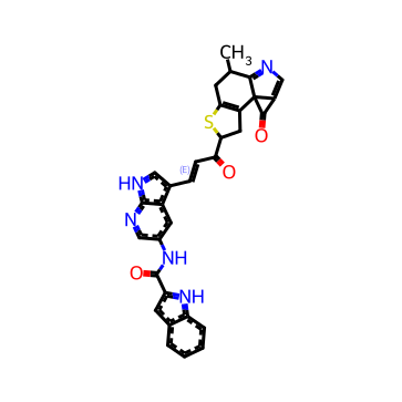 CC1CC2=C(CC(C(=O)/C=C/c3c[nH]c4ncc(NC(=O)c5cc6ccccc6[nH]5)cc34)S2)C23C(=O)C2=CN=C13